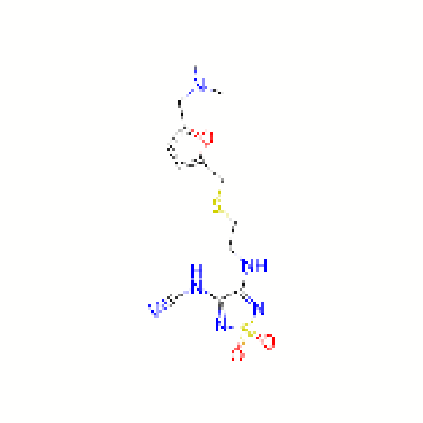 CN(C)Cc1ccc(CSCCNC2=NS(=O)(=O)N=C2NC#N)o1